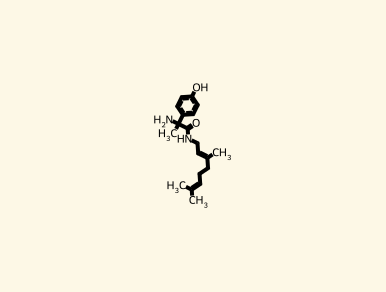 CC(C)=CCC/C(C)=C/CNC(=O)C(C)(N)c1ccc(O)cc1